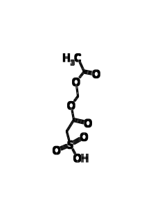 CC(=O)OCOC(=O)CS(=O)(=O)O